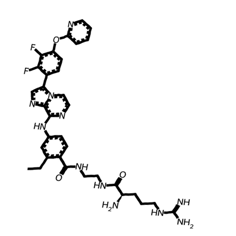 CCc1cc(Nc2nccn3c(-c4ccc(Oc5ccccn5)c(F)c4F)cnc23)ccc1C(=O)NCCNC(=O)[C@H](N)CCCNC(=N)N